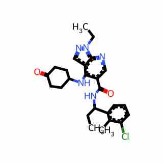 CCC(NC(=O)c1cnc2c(cnn2CC)c1NC1CCC(=O)CC1)c1cccc(Cl)c1C